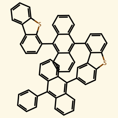 c1ccc(-c2c3ccccc3c(-c3ccc4sc5cccc(-c6c7ccccc7c(-c7cccc8c7sc7ccccc78)c7ccccc67)c5c4c3)c3ccccc23)cc1